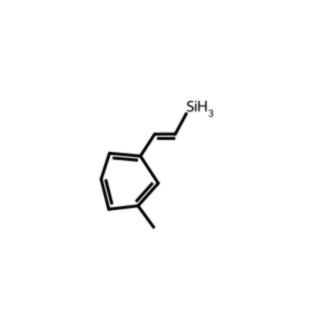 Cc1cccc(C=C[SiH3])c1